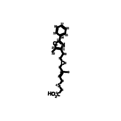 C/C(=C\CSCC(=O)O)COCCc1nc(-c2ccccc2)oc1C